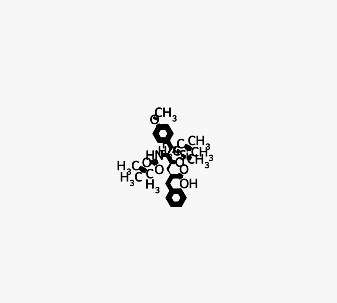 COc1ccc(C[C@H](NC(=O)OC(C)(C)C)[C@H](C[C@@H](Cc2ccccc2)C(=O)O)O[Si](C)(C)C(C)(C)C)cc1